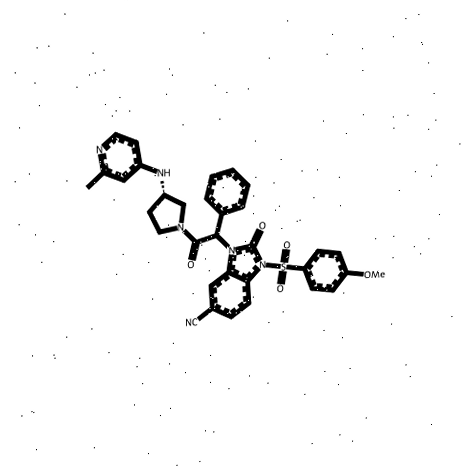 COc1ccc(S(=O)(=O)n2c(=O)n(C(C(=O)N3CC[C@H](Nc4ccnc(C)c4)C3)c3ccccc3)c3cc(C#N)ccc32)cc1